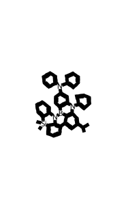 CC(C)c1cc2c3c(c1)N(c1ccccc1)c1cc(N(c4ccccc4)c4ccccc4)ccc1B3N1c3ccccc3[Si](C)(C)c3cccc-2c31